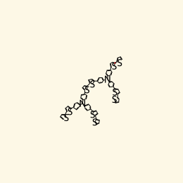 c1csc(-c2ccc(-c3ccc(N(c4ccc(-c5ccc(-c6cccs6)s5)cc4)c4ccc(-c5ccc(-c6ccc(-c7ccc(N(c8ccc(-c9ccc(-c%10cccs%10)s9)cc8)c8ccc(-c9ccc(-c%10cccs%10)s9)cc8)cc7)s6)s5)cc4)cc3)s2)c1